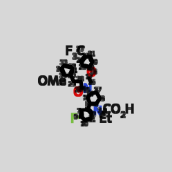 CCC(C(=O)O)n1c2c(c3cc(F)ccc31)CC(N(CCOc1ccc(C(F)(F)F)cc1)C(=O)CCc1ccccc1OC)CC2